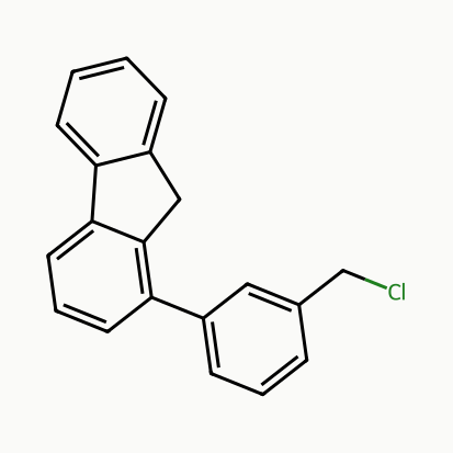 ClCc1cccc(-c2cccc3c2Cc2ccccc2-3)c1